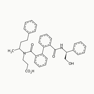 CC(CCc1ccccc1)N(CCC(=O)O)C(=O)c1ccccc1-c1ccccc1C(=O)N[C@H](CO)c1ccccc1